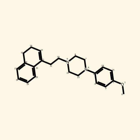 COc1ccc(N2CCN(CCC3=CCCc4ccccc43)CC2)cc1